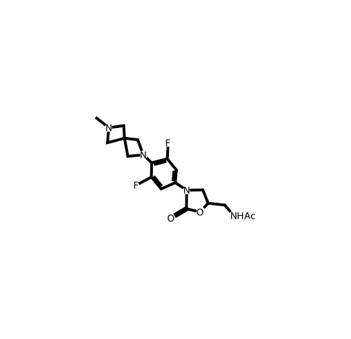 CC(=O)NCC1CN(c2cc(F)c(N3CC4(CN(C)C4)C3)c(F)c2)C(=O)O1